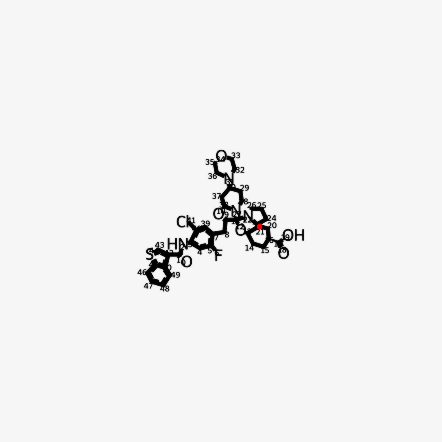 O=C(Nc1cc(F)c(CC(=O)C(O[C@H]2CC[C@H](C(=O)O)CC2)(N2CCCC2)N2CCC(N3CCOCC3)CC2)cc1Cl)c1csc2ccccc12